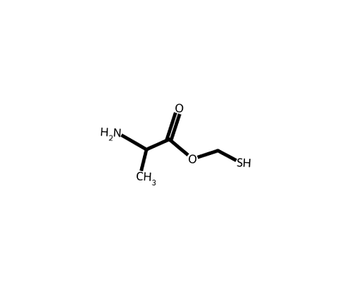 CC(N)C(=O)OCS